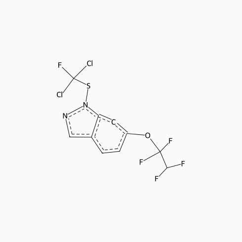 FC(F)C(F)(F)Oc1ccc2cnn(SC(F)(Cl)Cl)c2c1